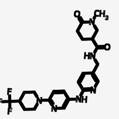 CN1CC(C(=O)NCc2ccc(Nc3ccc(N4CCC(C(F)(F)F)CC4)nc3)nc2)CCC1=O